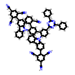 N#Cc1cc(C#N)c(-c2ccc3c(c2)c2ccccc2n3-c2ccc(-c3nc(-c4ccccc4)nc(-c4ccccc4)n3)cc2-c2ccc(-n3c4ccccc4c4cc(-c5c(C#N)cc(C#N)cc5C#N)ccc43)c(-c3ccccc3C#N)c2)c(C#N)c1